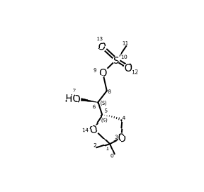 CC1(C)OC[C@@H]([C@@H](O)COS(C)(=O)=O)O1